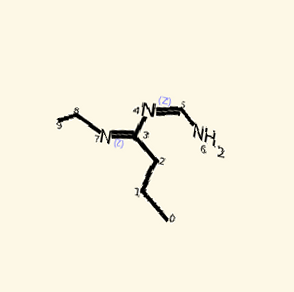 CCCC(/N=C\N)=N/CC